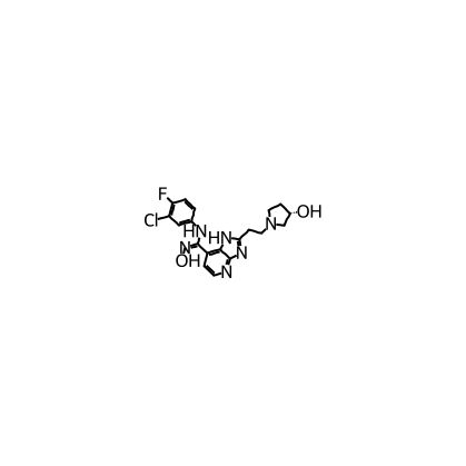 O/N=C(/Nc1ccc(F)c(Cl)c1)c1ccnc2nc(CCN3CC[C@H](O)C3)[nH]c12